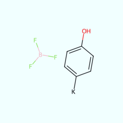 FB(F)F.Oc1cc[c]([K])cc1